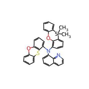 C[Si]1(C)c2ccccc2Oc2c(N(c3cccc4c3Sc3ccccc3O4)c3cccc4cccnc34)cccc21